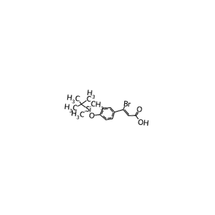 CC(C)(C)[Si](C)(C)Oc1ccc(C(Br)=CC(=O)O)cc1